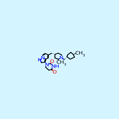 C[C@H]1C[C@H](Cc2ccn3ncc(N4CCC(=O)NC4=O)c3c2)CCN1C[C@H]1CC[C@H](C)CC1